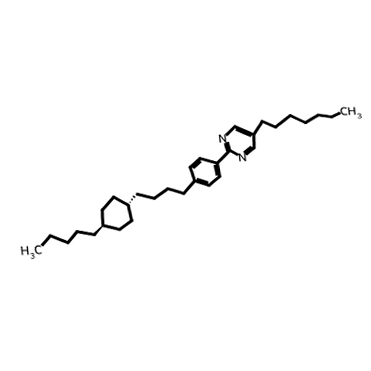 CCCCCCCc1cnc(-c2ccc(CCCC[C@H]3CC[C@H](CCCCC)CC3)cc2)nc1